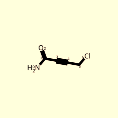 NC(=O)C#CCCl